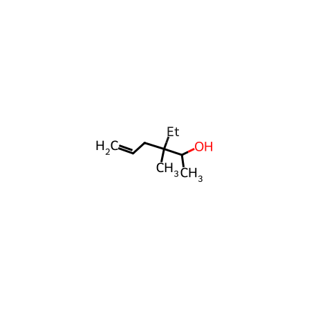 C=CCC(C)(CC)C(C)O